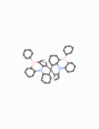 c1ccc(B2c3ccccc3N3c4ccccc4C4(c5ccccc5N5c6ccccc6B(c6ccccc6)c6cccc4c65)c4cccc2c43)cc1